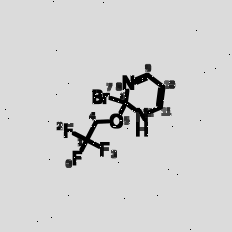 FC(F)(F)COC1(Br)N=CC=CN1